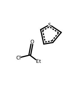 CCC(=O)Cl.c1ccsc1